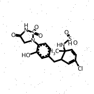 CC1(N[SH](=O)=O)C=CC(Cl)=CC1Cc1ccc(N2CC(=O)NS2(=O)=O)c(O)c1